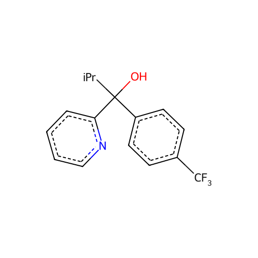 CC(C)C(O)(c1ccc(C(F)(F)F)cc1)c1ccccn1